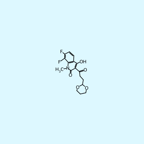 Cn1c(=O)c(C(=O)CCC2OCCCO2)c(O)c2ccc(F)c(F)c21